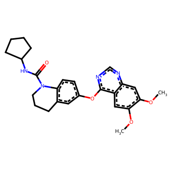 COc1cc2ncnc(Oc3ccc4c(c3)CCCN4C(=O)NC3CCCC3)c2cc1OC